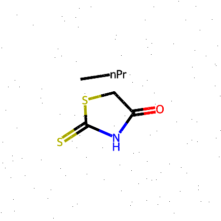 CCCC.O=C1CSC(=S)N1